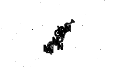 Cc1ccnc([C@H]2C[C@@H]2c2cc(N(C)C)c3ccc(N(Cc4cn5cc(C6CC6)ccc5n4)C(=O)OC(C)(C)C)cc3n2)n1